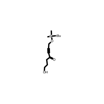 CC(C)(C)[Si](C)(C)OCC#CC(=O)CCCO